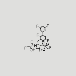 O=C(C(O)CF)N1CC2(CC2)[C@H](NS(=O)(=O)CF)[C@@H]1Cc1cc(F)cc(-c2cc(F)cc(F)c2)c1F